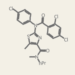 CCCN(C)C(=O)c1nc(N(C(=O)c2ccc(Cl)cc2Cl)c2ccc(Cl)cc2)sc1C